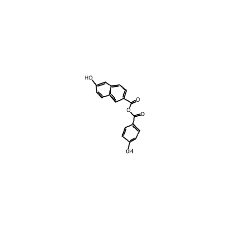 O=C(OC(=O)c1ccc2cc(O)ccc2c1)c1ccc(O)cc1